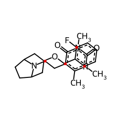 Cc1c(CCN2C3CCC2CC(OCc2ccccc2F)C3)c(=O)n(C)c(=O)n1C